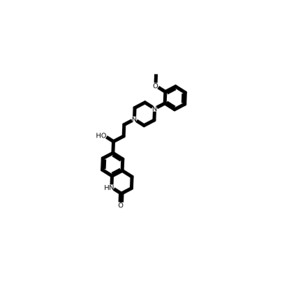 COc1ccccc1N1CCN(CCC(O)c2ccc3c(c2)CCC(=O)N3)CC1